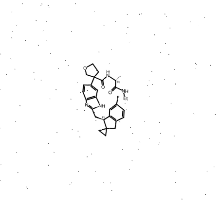 CCNC(=O)[C@@H](C)NC(=O)C1(c2ccc3nc(C[C@H]4c5cc(F)ccc5CC45CC5)[nH]c3c2)CCOC1